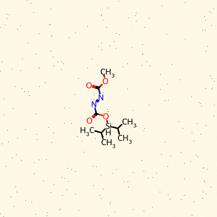 COC(=O)N=NC(=O)O[SiH](C(C)C)C(C)C